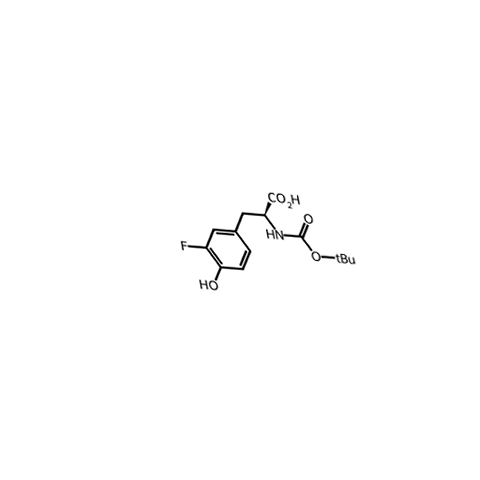 CC(C)(C)OC(=O)N[C@@H](Cc1ccc(O)c(F)c1)C(=O)O